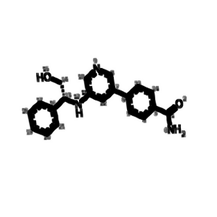 NC(=O)c1ccc(-c2cncc(N[C@@H](CO)c3ccccc3)c2)cc1